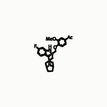 COc1cc(C(C)=O)ccc1OCCCCN1C2CCC1CC(c1n[nH]c3cc(F)ccc13)C2